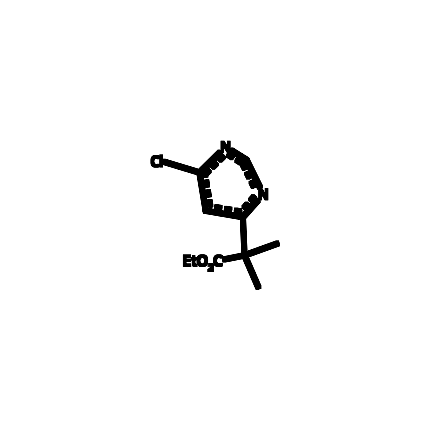 CCOC(=O)C(C)(C)c1cc(Cl)ncn1